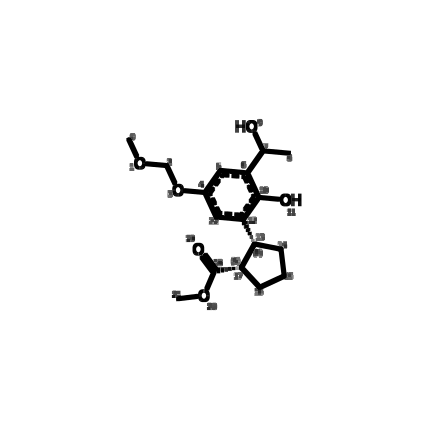 COCOc1cc(C(C)O)c(O)c([C@@H]2CCC[C@@H]2C(=O)OC)c1